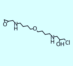 OC(CCl)CNCCCCOCCCCNCC1CO1